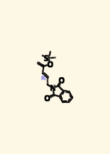 C=C(/C=C/CN1C(=O)c2ccccc2C1=O)O[Si](C)(C)C